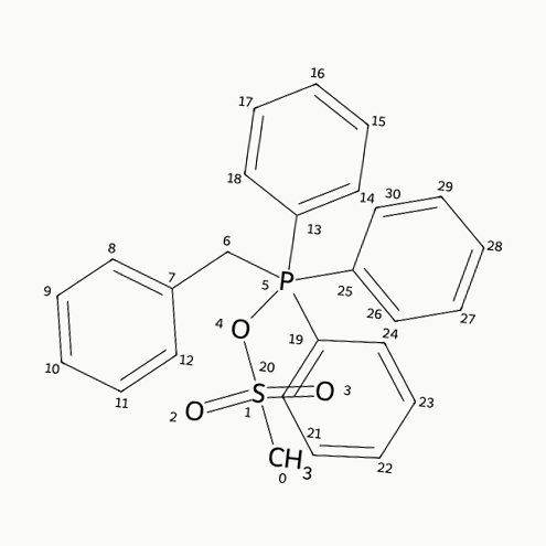 CS(=O)(=O)OP(Cc1ccccc1)(c1ccccc1)(c1ccccc1)c1ccccc1